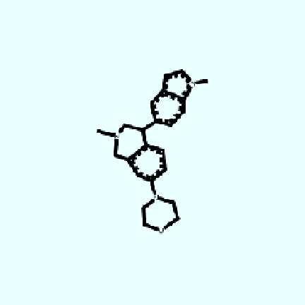 CN1Cc2cc(N3CCOCC3)ccc2C(c2ccc3c(ccn3C)c2)C1